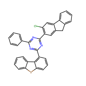 Clc1cc2c(cc1-c1nc(-c3ccccc3)nc(-c3cccc4sc5ccccc5c34)n1)Cc1ccccc1-2